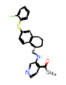 COC(=O)c1ccncc1NC[C@H]1CCCc2cc(Sc3ccccc3F)ccc21